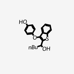 CCCCC(O)c1sc2ccccc2c1Oc1ccc(O)cc1